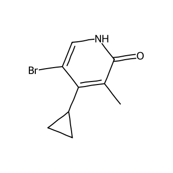 Cc1c(C2CC2)c(Br)c[nH]c1=O